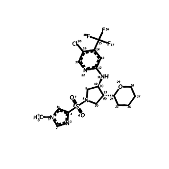 Cn1cnc(S(=O)(=O)N2C[C@@H](Nc3cc(C(F)(F)F)c(Cl)cn3)[C@H](C3CCCCO3)C2)c1